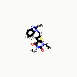 CCCc1nc2ccccc2n1Cc1sc2c(c1C(=O)O)c(=O)n(C)c(=O)n2CC(C)C